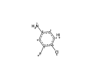 I.Nc1ccc(Cl)c(F)c1